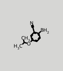 Bc1ccc(OC(C)C)cc1C#N